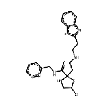 O=C(NCc1cccnn1)C1(CCNCCc2nc3ccccc3[nH]2)NC=C(Cl)S1